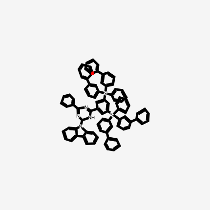 c1ccc(C2=NC(n3c4ccccc4c4ccccc43)NC(c3cc([Si](c4ccccc4)(c4cccc(-c5ccccc5)c4)c4cccc(-c5ccccc5)c4)cc([Si](c4ccccc4)(c4cccc(-c5ccccc5)c4)c4cccc(-c5ccccc5)c4)c3)=N2)cc1